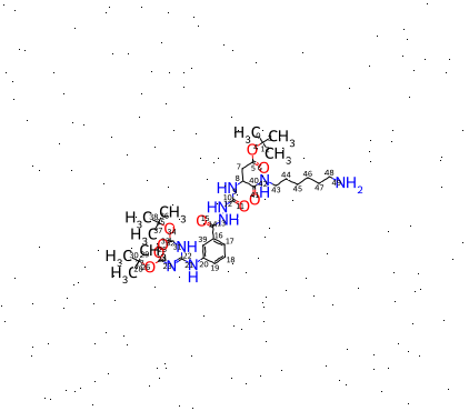 CC(C)(C)OC(=O)CC(NC(=O)NNC(=O)c1cccc(N/C(=N/C(=O)OC(C)(C)C)NC(=O)OC(C)(C)C)c1)C(=O)NCCCCCCN